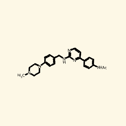 CC(=O)Nc1ccc(-c2ccnc(NCc3ccc(N4CCN(C)CC4)cc3)n2)cc1